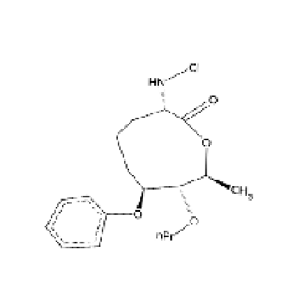 CCCO[C@H]1[C@H](C)OC(=O)[C@@H](NCl)CCC[C@@H]1Oc1ccccc1